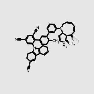 C=CC1C(=C)/C=C\C=C/CN(c2cccc(C3=CC(c4c(C#N)cc(C#N)cc4-n4c5c(c6c4CCC(C#N)=C6)C=CCC5)=CCC3C)c2)C1/C=C\C